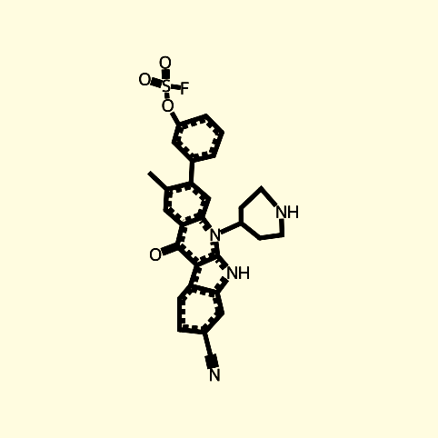 Cc1cc2c(=O)c3c4ccc(C#N)cc4[nH]c3n(C3CCNCC3)c2cc1-c1cccc(OS(=O)(=O)F)c1